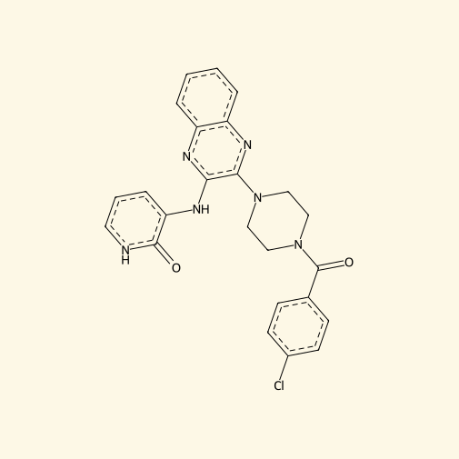 O=C(c1ccc(Cl)cc1)N1CCN(c2nc3ccccc3nc2Nc2ccc[nH]c2=O)CC1